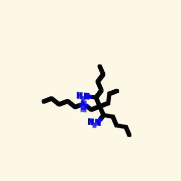 CCCCCNCC(CCC)(C(N)CCCC)C(N)CCCC